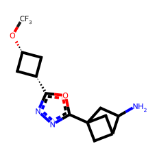 NC1CC2(c3nnc([C@H]4C[C@@H](OC(F)(F)F)C4)o3)CC1C2